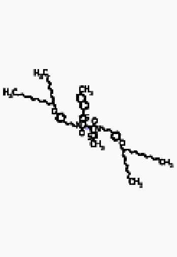 CCCCCCCCCCC(CCCCCCCC)COc1ccc(CCCN2C(=O)/C(=C3/C(=O)N(CCCc4ccc(OCC(CCCCCCCC)CCCCCCCCCC)cc4)c4cc(-c5ccc6cc(C)ccc6c5)sc43)c3sc(C)cc32)cc1